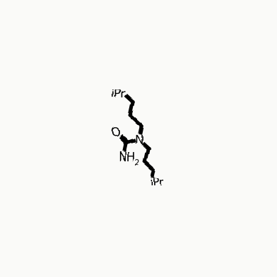 CC(C)CCCN(CCCC(C)C)C(N)=O